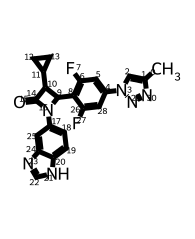 Cc1cn(-c2cc(F)c(C3C(C4CC4)C(=O)N3c3ccc4[nH]cnc4c3)c(F)c2)nn1